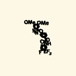 COc1cc2ncnc(Oc3ccc(C(=O)C(=O)Nc4ccc(F)c(C(F)(F)F)c4)cc3)c2cc1OC